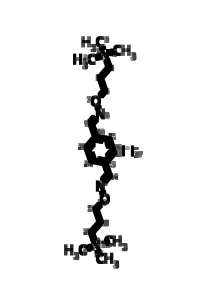 C[N+](C)(C)CCCO/N=C/c1ccc(/C=N/OCCC[N+](C)(C)C)cc1.[I-].[I-]